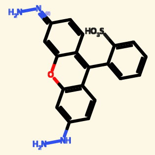 N/N=c1/ccc2c(-c3ccccc3S(=O)(=O)O)c3ccc(NN)cc3oc-2c1